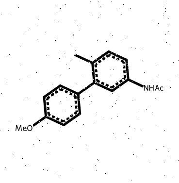 COc1ccc(-c2cc(NC(C)=O)ccc2C)cc1